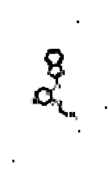 CCO[C@H]1CNCC[C@@H]1Oc1nc2ccccc2s1